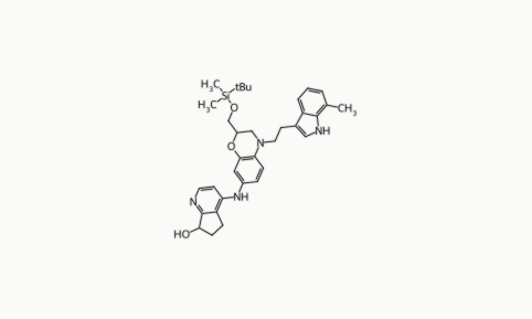 Cc1cccc2c(CCN3CC(CO[Si](C)(C)C(C)(C)C)Oc4cc(Nc5ccnc6c5CCC6O)ccc43)c[nH]c12